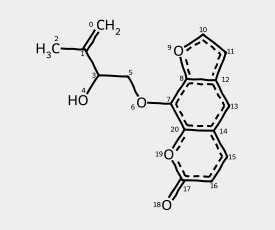 C=C(C)C(O)COc1c2occc2cc2ccc(=O)oc12